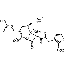 C=S1CC(COC(N)=O)=S(C(=O)[O-])N2C(=O)S(NC(=O)Cc3ccsc3C(=O)[O-])(OC)[C@@H]21.[Na+].[Na+]